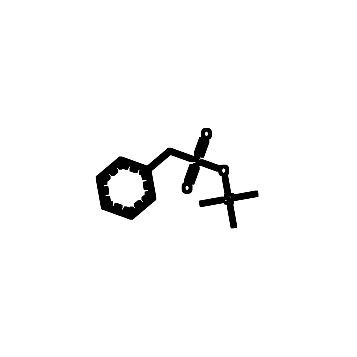 C[Si](C)(C)OS(=O)(=O)Cc1ccccc1